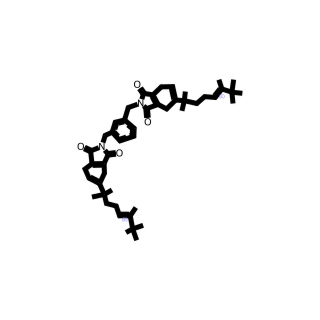 C/C(=C\CCC(C)(C)C1=CCC2=C(C1)C(=O)N(Cc1cccc(CN3C(=O)C4=C(CC(C(C)(C)CC/C=C(\C)C(C)(C)C)=CC4)C3=O)c1)C2=O)C(C)(C)C